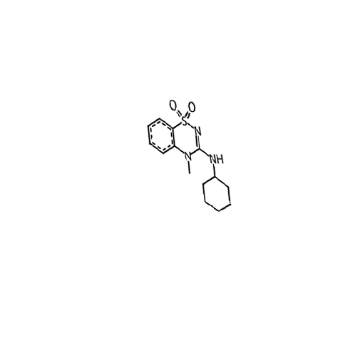 CN1C(NC2CCCCC2)=NS(=O)(=O)c2ccccc21